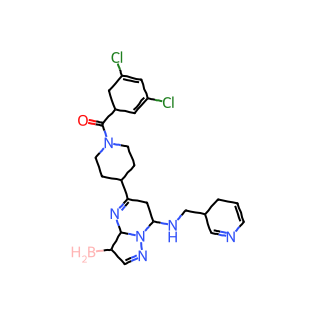 BC1C=NN2C(NCC3C=NC=CC3)CC(C3CCN(C(=O)C4C=C(Cl)C=C(Cl)C4)CC3)=NC12